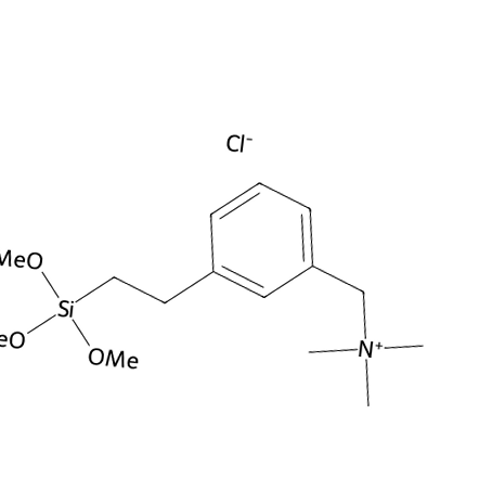 CO[Si](CCc1cccc(C[N+](C)(C)C)c1)(OC)OC.[Cl-]